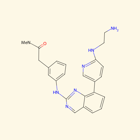 CNC(=O)Cc1cccc(Nc2ncc3cccc(-c4ccc(NCCN)nc4)c3n2)c1